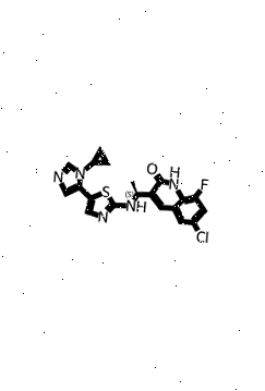 C[C@H](Nc1ncc(-c2cncn2C2CC2)s1)c1cc2cc(Cl)cc(F)c2[nH]c1=O